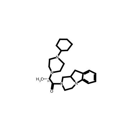 C[C@@H](C(=O)N1CCN2c3ccccc3CC2C1)N1CCN(C2CCCCC2)CC1